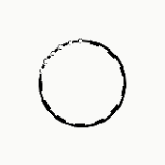 [C]1=C/C=C\C=C/C=C\C=C/C=C\C=C/C=C\C=C/C=C\CCCCCC\1